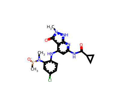 CN(c1cc(Cl)ccc1Nc1cc(NC(=O)C2CC2)nc2[nH]n(C)c(=O)c12)[S+](C)[O-]